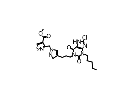 CCCCCn1c(=O)n(CCCc2cnn(Cc3nscc3C(=O)OC)c2)c(=O)c2[nH]c(Cl)nc21